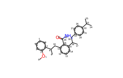 COc1ccccc1C(C)Cc1cccc(C(C)Cc2ccc(C(C)C)cc2)c1C(N)=O